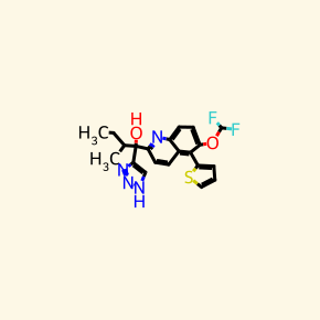 CCC(C)C(O)(c1c[nH]nn1)c1ccc2c(-c3cccs3)c(OC(F)F)ccc2n1